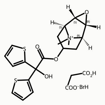 Br.C[N+]1(C)[C@@H]2CC(OC(=O)C(O)(c3cccs3)c3cccs3)C[C@H]1[C@@H]1O[C@@H]12.O=C([O-])CC(=O)O